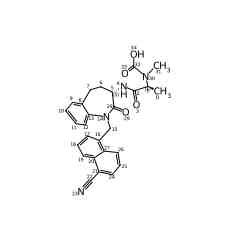 C[C@@H](C(=O)N[C@H]1CCc2ccccc2N(Cc2cccc3c(C#N)cccc23)C1=O)N(C)C(=O)O